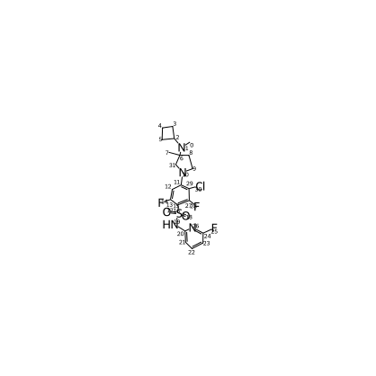 CN(C1CCC1)C1(C)CCN(c2cc(F)c(S(=O)(=O)Nc3cccc(F)n3)c(F)c2Cl)C1